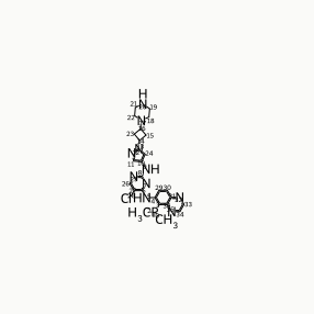 CP(C)c1c(Nc2nc(Nc3cnn(C4CC(N5CCNCC5)C4)c3)ncc2Cl)ccc2nccnc12